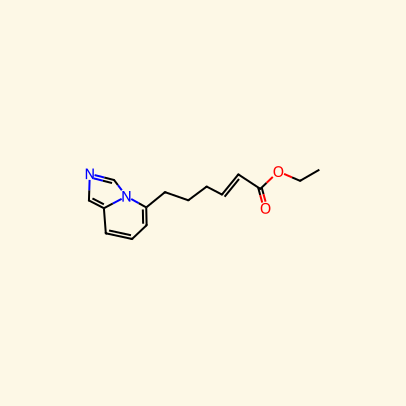 CCOC(=O)/C=C/CCCc1cccc2cncn12